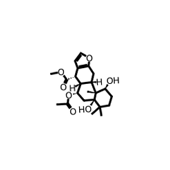 COC(=O)[C@@H]1c2ccoc2C[C@H]2[C@@H]1[C@@H](OC(C)=O)C[C@@]1(O)C(C)(C)CC[C@H](O)[C@@]21C